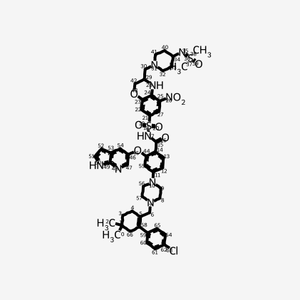 CC1(C)CCC(CN2CCN(c3ccc(C(=O)NS(=O)(=O)c4cc5c(c([N+](=O)[O-])c4)NC(CN4CCC(N=S(C)(C)=O)CC4)CO5)c(Oc4cnc5[nH]ccc5c4)c3)CC2)=C(c2ccc(Cl)cc2)C1